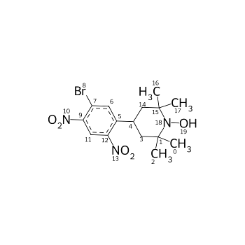 CC1(C)CC(c2cc(Br)c([N+](=O)[O-])cc2[N+](=O)[O-])CC(C)(C)N1O